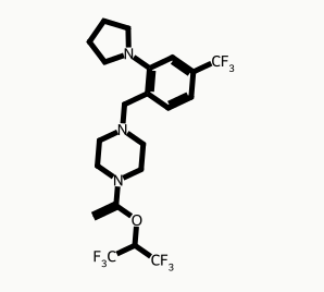 C=C(OC(C(F)(F)F)C(F)(F)F)N1CCN(Cc2ccc(C(F)(F)F)cc2N2CCCC2)CC1